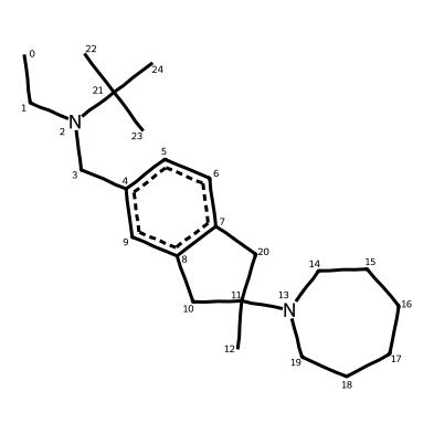 CCN(Cc1ccc2c(c1)CC(C)(N1CCCCCC1)C2)C(C)(C)C